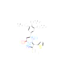 COc1cc(-c2cc(=O)n3nc(C(F)(F)F)c(-c4cccs4)c3[nH]2)cc(OC)c1OC